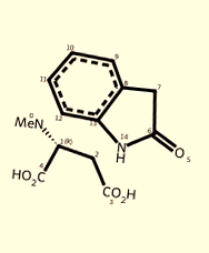 CN[C@H](CC(=O)O)C(=O)O.O=C1Cc2ccccc2N1